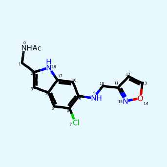 CC(=O)NCc1cc2cc(Cl)c(NCc3ccon3)cc2[nH]1